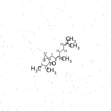 CCC(C)C(=O)C1(CC=C(C)CCC=C(C)C)CC1